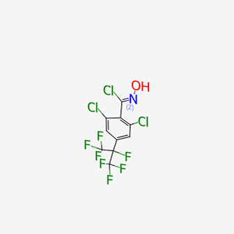 O/N=C(\Cl)c1c(Cl)cc(C(F)(C(F)(F)F)C(F)(F)F)cc1Cl